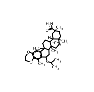 Cc1c2c(cc3c1C(SC(C)C)CC1[C@@]3(C)CC[C@@]3(C)[C@@H]4C[C@](C)(C(N)=O)CC[C@]4(C)CC[C@]13C)OCCO2